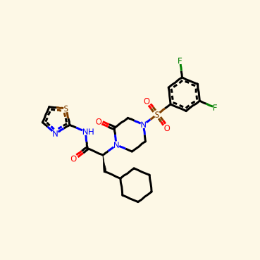 O=C(Nc1nccs1)[C@H](CC1CCCCC1)N1CCN(S(=O)(=O)c2cc(F)cc(F)c2)CC1=O